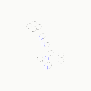 c1ccc2c(-c3cc(-c4ccc(-c5ccc(-c6ccc7ccc8cccc9ccc6c7c89)cn5)nc4)cc(-n4c5ccccc5c5ncccc54)c3)cccc2c1